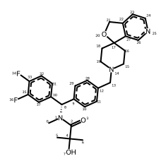 CN(C(=O)C(C)(C)O)[C@@H](c1ccc(CN2CCC3(CC2)OCc2ccncc23)cc1)c1ccc(F)c(F)c1